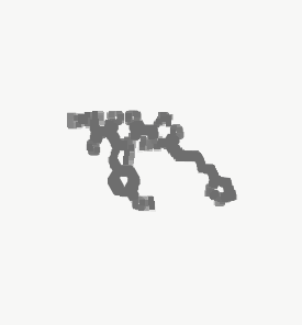 CCNC(=O)C(=O)[C@H](Cc1ccc(O)cc1)NC(=O)[C@@H](NC(=O)CCCCC1CCSS1)C(C)C